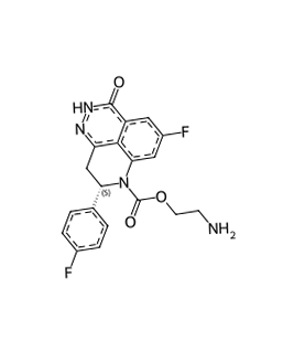 NCCOC(=O)N1c2cc(F)cc3c(=O)[nH]nc(c23)C[C@H]1c1ccc(F)cc1